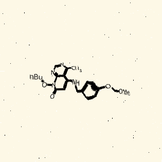 CCCCOn1c(=O)cc(NCc2ccc(OCOC)cc2)c2c(C)ncnc21